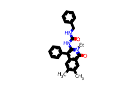 CCn1c(NC(=O)NCc2ccccc2)c(-c2ccccc2)c2cc(C)c(C)cc2c1=O